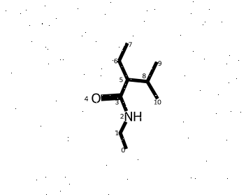 CCNC(=O)C(CC)C(C)C